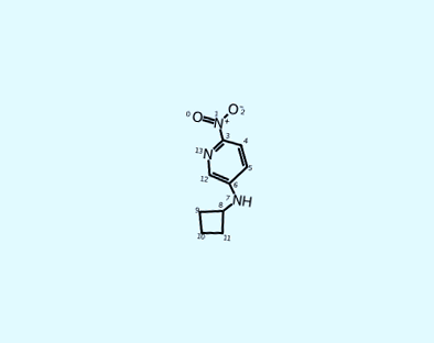 O=[N+]([O-])c1ccc(NC2CCC2)cn1